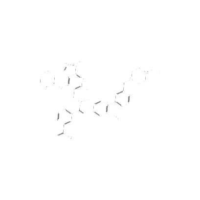 CCc1nc2c(cnn2CC)c(NC2CCOCC2)c1CN(Cc1ccc(C#N)c(-c2cccc(CN3CCN(C)CC3)c2)c1)C(=O)c1cccc(C(N)=O)c1